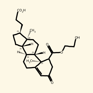 C[C@]12CC[C@H]3[C@@H](CCC4=CC(=O)CC(C(=O)OCCO)[C@@]43C)[C@@H]1CC[C@H]2CCC(=O)O